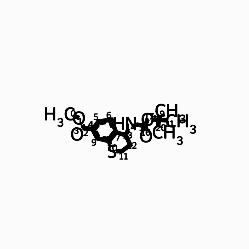 COC(=O)c1ccc2c(c1)SCCC2NC(=O)OC(C)(C)C